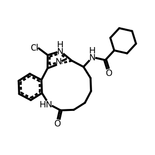 O=C1CCCCC(NC(=O)C2CCCCC2)c2nc(c(Cl)[nH]2)-c2ccccc2N1